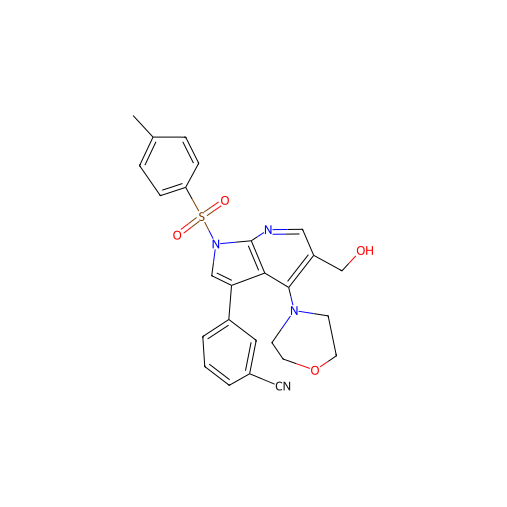 Cc1ccc(S(=O)(=O)n2cc(-c3cccc(C#N)c3)c3c(N4CCOCC4)c(CO)cnc32)cc1